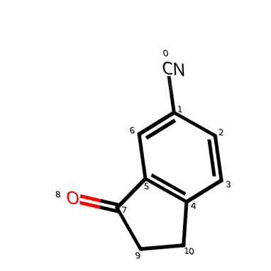 N#Cc1ccc2c(c1)C(=O)CC2